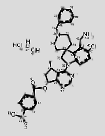 C[C@@H]1C[C@@H](OC(=O)c2ccc([N+](=O)[O-])cc2)c2ncnc(N3CC4(CCN(Cc5ccccc5)CC4)c4c3ccc(Cl)c4CN)c21.Cl.Cl.Cl